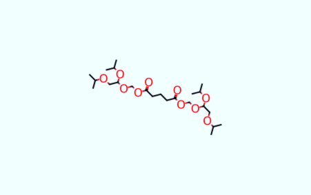 CC(C)OCC(OCOC(=O)CCCC(=O)OCOC(COC(C)C)OC(C)C)OC(C)C